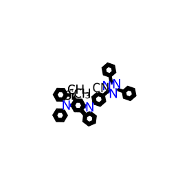 C[Si]1(C)c2ccccc2N(c2ccccc2)c2cc3c4ccccc4n(-c4ccc(-c5nc(-c6ccccc6)nc(-c6ccccc6)n5)c(C#N)c4)c3cc21